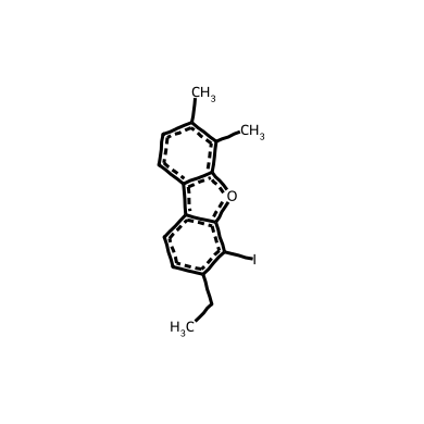 CCc1ccc2c(oc3c(C)c(C)ccc32)c1I